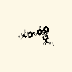 CC(C)(F)CN1CCC(COc2ccc(C3C=CC=CC3(F)C(=O)N3CCC(C(N)=O)CC3)c(F)c2)CC1